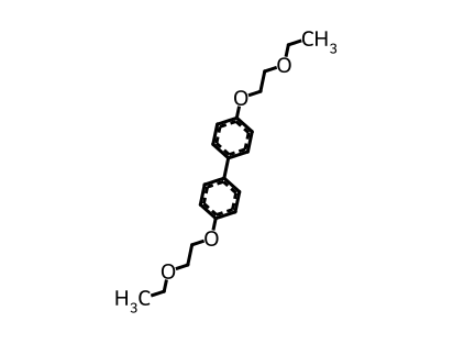 CCOCCOc1ccc(-c2ccc(OCCOCC)cc2)cc1